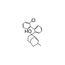 CC1C=C2CC(CCC2(O)c2ccccc2-c2ccccc2Cl)C1